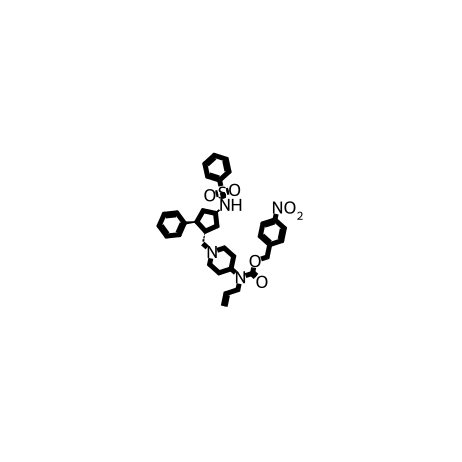 C=CCN(C(=O)OCc1ccc([N+](=O)[O-])cc1)C1CCN(C[C@H]2C[C@@H](NS(=O)(=O)c3ccccc3)C[C@@H]2c2ccccc2)CC1